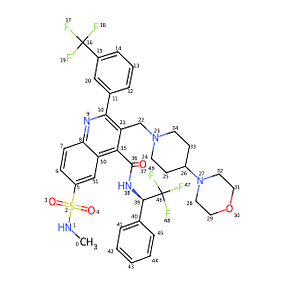 CNS(=O)(=O)c1ccc2nc(-c3cccc(C(F)(F)F)c3)c(CN3CCC(N4CCOCC4)CC3)c(C(=O)N[C@H](c3ccccc3)C(F)(F)F)c2c1